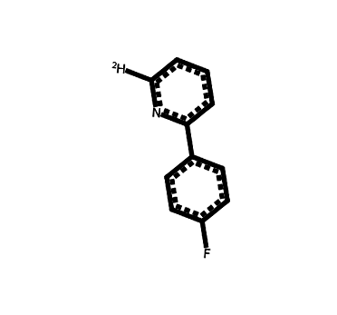 [2H]c1cccc(-c2ccc(F)cc2)n1